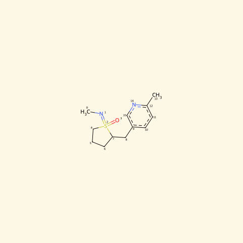 CN=S1(=O)CCCC1Cc1ccc(C)nc1